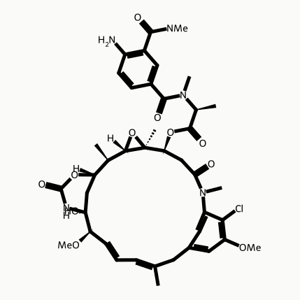 CNC(=O)c1cc(C(=O)N(C)[C@@H](C)C(=O)O[C@H]2CC(=O)N(C)c3cc(cc(OC)c3Cl)C/C(C)=C/C=C/[C@@H](OC)[C@@]3(O)C[C@H](OC(=O)N3)[C@@H](C)[C@@H]3O[C@@]23C)ccc1N